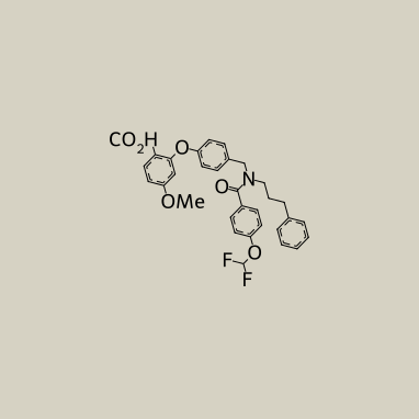 COc1ccc(C(=O)O)c(Oc2ccc(CN(CCCc3ccccc3)C(=O)c3ccc(OC(F)F)cc3)cc2)c1